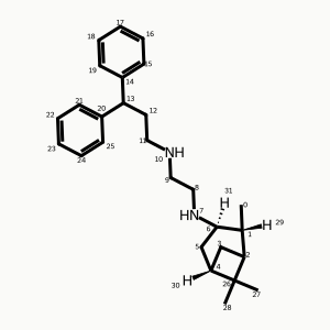 C[C@@H]1C2C[C@@H](C[C@H]1NCCNCCC(c1ccccc1)c1ccccc1)C2(C)C